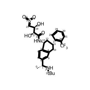 C[C@@H](NC(C)(C)C)c1ccc2c(c1)CCC[C@H]2NC(=O)[C@H](O)[C@H](O)C=S(=O)=O.FC(F)(F)c1ccccc1